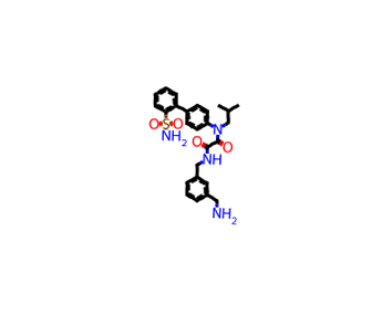 CC(C)CN(C(=O)C(=O)NCc1cccc(CN)c1)c1ccc(-c2ccccc2S(N)(=O)=O)cc1